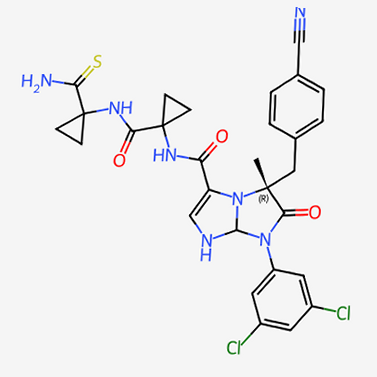 C[C@@]1(Cc2ccc(C#N)cc2)C(=O)N(c2cc(Cl)cc(Cl)c2)C2NC=C(C(=O)NC3(C(=O)NC4(C(N)=S)CC4)CC3)N21